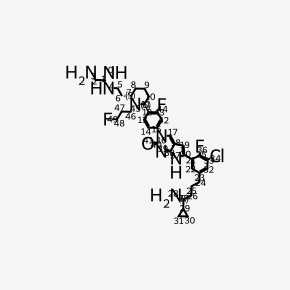 N=C(CN)NCC[C@@H]1CCC[C@@H](c2ccc(-n3cc4cc(-c5cc(CCC[C@@H](N)C6CC6)cc(Cl)c5F)[nH]c4nc3=O)cc2F)N1CCCF